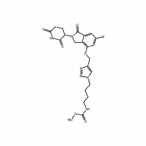 CC(C)(C)OC(=O)NCCCCn1cc(COc2cc(Br)cc3c2CN(C2CCC(=O)NC2=O)C3=O)nn1